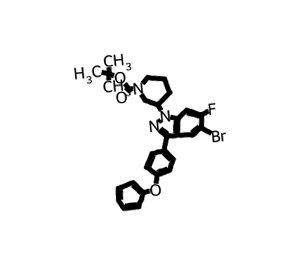 CC(C)(C)OC(=O)N1CCCC(n2nc(-c3ccc(Oc4ccccc4)cc3)c3cc(Br)c(F)cc32)C1